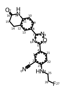 N#Cc1cc(-c2nc(-c3ccc4c(c3)CCC(=O)N4)no2)ccc1NCCF